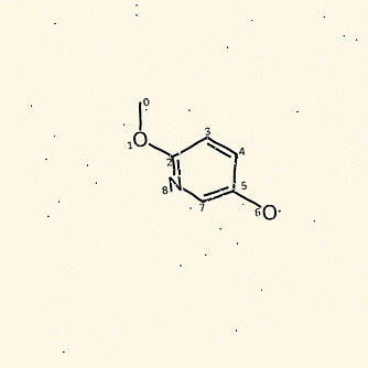 COc1ccc([O])cn1